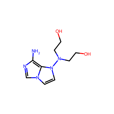 Nc1ncn2ccn(N(CCO)CCO)c12